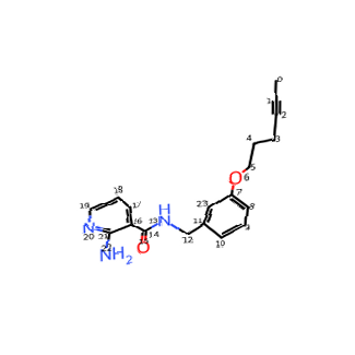 CC#CCCCOc1cccc(CNC(=O)c2cccnc2N)c1